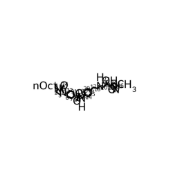 CCCCCCCCN1CCN(c2ccc(S(=O)(=O)Nc3ccc(CCNCC(O)c4cc(C)no4)cc3)cc2)C1=O